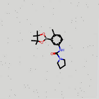 Cc1ccc(NC(=O)N2CCCC2)cc1B1OC(C)(C)C(C)(C)O1